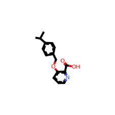 CC(C)c1ccc(COc2cccnc2C(=O)O)cc1